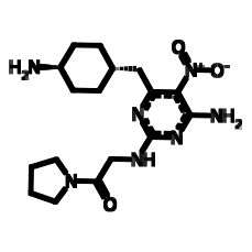 Nc1nc(NCC(=O)N2CCCC2)nc(C[C@H]2CC[C@H](N)CC2)c1[N+](=O)[O-]